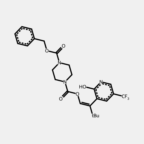 CC(C)(C)C(=COC(=O)N1CCN(C(=O)OCc2ccccc2)CC1)c1cc(C(F)(F)F)cnc1O